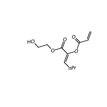 C=CC(=O)OC(=CCCC)C(=O)OCCO